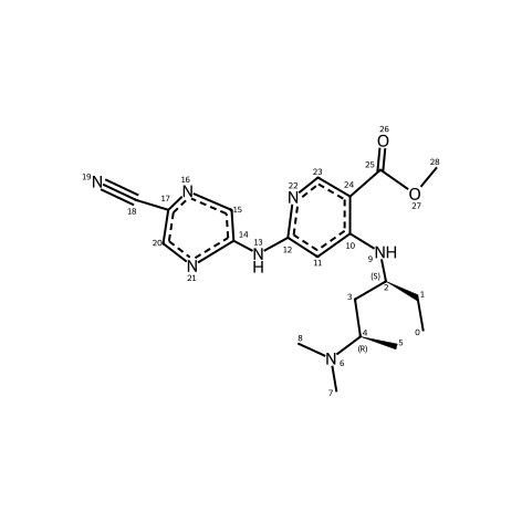 CC[C@@H](C[C@@H](C)N(C)C)Nc1cc(Nc2cnc(C#N)cn2)ncc1C(=O)OC